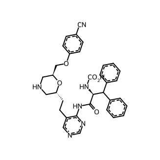 N#Cc1ccc(OC[C@@H]2CNC[C@@H](CCc3cncnc3NC(=O)[C@@H](NC(=O)O)C(c3ccccc3)c3ccccc3)O2)cc1